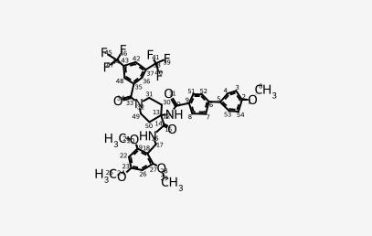 COc1ccc(-c2ccc(C(=O)NC3(C(=O)NCc4c(OC)cc(OC)cc4OC)CCN(C(=O)c4cc(C(F)(F)F)cc(C(F)(F)F)c4)CC3)cc2)cc1